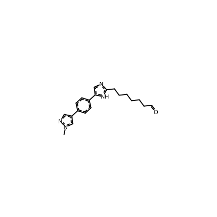 Cn1cc(-c2ccc(-c3cnc(CCCCCCC=O)[nH]3)cc2)cn1